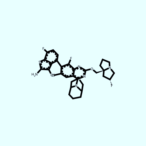 N#Cc1c(N)sc2c(F)ccc(-c3c(Cl)cc4c(N5C6CCCC5COC6)nc(OC[C@@]56CCCN5C[C@H](F)C6)nc4c3F)c12